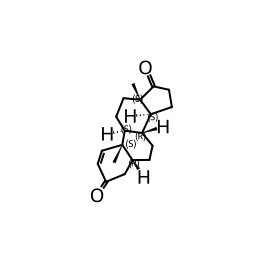 C[C@]12C=CC(=O)C[C@H]1CC[C@@H]1[C@@H]2CC[C@]2(C)C(=O)CC[C@@H]12